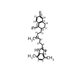 Cc1ccc(C)c2[nH]c(CCCN(C)CC[C]3CCc4cc(F)ccc4C3C(C)C)nc12